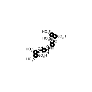 Cc1cc(NC(=O)Nc2ccc(C(=O)Nc3cc(S(=O)(=O)O)cc4cc(S(=O)(=O)O)cc(S(=O)(=O)O)c34)c(C)c2)ccc1C(=O)Nc1cc(S(=O)(=O)O)cc2cc(S(=O)(=O)O)cc(S(=O)(=O)O)c12